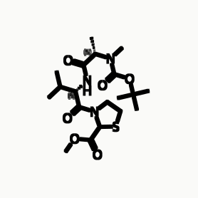 COC(=O)C1SCCN1C(=O)[C@@H](NC(=O)[C@H](C)N(C)C(=O)OC(C)(C)C)C(C)C